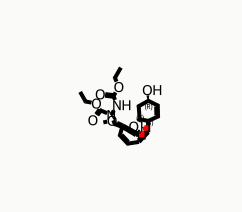 CCOC(=O)NN(CN1CC[C@@]23C=C[C@H](O)C[C@@H]2Oc2c(OC)ccc(c23)C1)C(=O)OCC